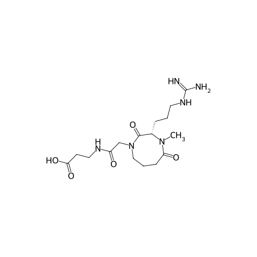 CN1C(=O)CCCN(CC(=O)NCCC(=O)O)C(=O)[C@@H]1CCCNC(=N)N